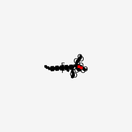 C=C(C)C(=O)OCCCc1cc(-c2ccc(-c3c(F)cc(-c4ccc(C5CCC(CCCCC)CC5)cc4)cc3F)cc2CC)ccc1OCC(COC(=O)CCC(=O)OC)(COC(=O)CCC(=O)OC)COC(=O)C(=C)C